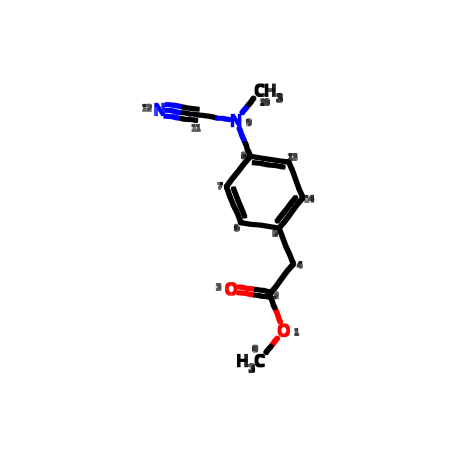 COC(=O)Cc1ccc(N(C)C#N)cc1